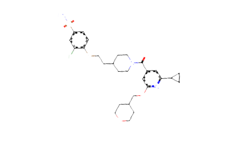 NS(=O)(=O)c1ccc(SCCC2CCN(C(=O)c3cc(OCC4CCOCC4)nc(C4CC4)c3)CC2)c(F)c1